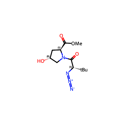 COC(=O)[C@@H]1C[C@@H](O)CN1C(=O)[C@@H](N=[N+]=[N-])C(C)(C)C